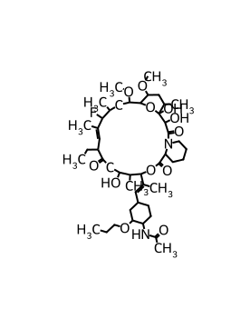 CCCOC1CC(C=C(C)C2OC(=O)C3CCCCN3C(=O)C(O)C3(O)OC(C(OC)CC(C)C(F)/C(C)=C/C(CC)C(=O)CC(O)C2C)C(OC)CC3C)CCC1NC(C)=O